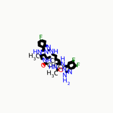 CCCCC(C)(CNC(C)=O)Nc1nc(NCCCCC(C)(CNC(C)=O)Nc2nc(N)nc3cc(F)c(F)cc23)nc2cc(F)ccc12